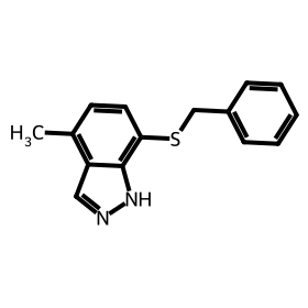 Cc1ccc(SCc2ccccc2)c2[nH]ncc12